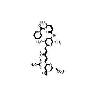 CCOC(C)O[C@@H]1[C@@H](/C=C/C(C)=C/C[C@@H]2O[C@H](C)[C@H](NC(=O)/C=C\[C@H](C)OC(=O)N3CCCCC3)C[C@@H]2C)O[C@H](CC(=O)O)C[C@@]12CO2